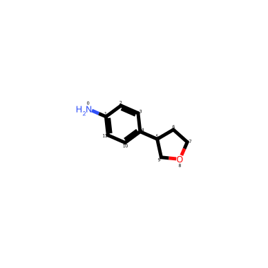 Nc1ccc(C2CCOC2)cc1